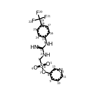 N=C(NCS(=O)(=O)Oc1cccnc1)Nc1ccc(C(F)(F)F)cc1